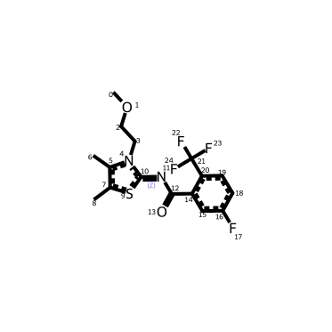 COCCn1c(C)c(C)s/c1=N\C(=O)c1cc(F)ccc1C(F)(F)F